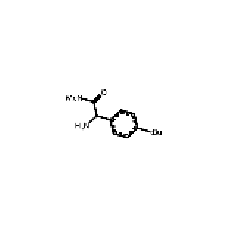 CNC(=O)C(N)c1ccc(C(C)(C)C)cc1